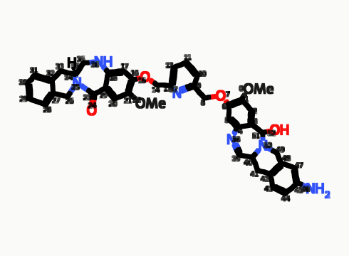 COc1cc2c(cc1OCc1cccc(COc3cc4c(cc3OC)C(=O)N3Cc5ccccc5C[C@H]3CN4)n1)N=CC1Cc3ccc(N)cc3CN1C2O